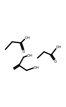 C=C(CO)CO.CCC(=O)O.CCC(=O)O